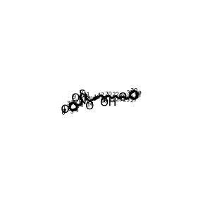 COc1ccc(CN2C(=O)SC[C@H]2C(=O)C#CC[C@H](O)CCCCOCc2ccccc2)cc1